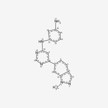 Cn1ncc2ccc(-c3cc(Nc4cccc(N)c4)ncn3)cc21